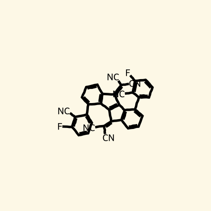 N#CC(C#N)=C1C2=C(C(=C(C#N)C#N)c3cccc(-c4cccc(F)c4C#N)c32)c2c1cccc2-c1cccc(F)c1C#N